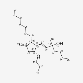 CCCCCCC[C@H]1C(=O)C[C@@H](OCCC)[C@@H]1C=CC(C)(O)CCCC